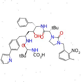 Cc1cccc(CN2CCN([C@H](C(=O)N[C@@H](Cc3ccccc3)[C@@H](O)C[C@H](Cc3ccc(-c4ccccn4)cc3)NC(=O)[C@@H](NC(=O)O)C(C)(C)C)C(C)(C)C)C2=O)c1[N+](=O)[O-]